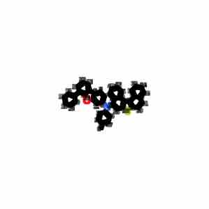 Cc1ccc(N(c2ccc3c(c2)oc2c(-c4ccccc4)cccc23)c2cc3sc4ccc5ccccc5c4c3c3ccccc23)cc1